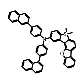 C[Si]1(C)c2ccc(N(c3ccc(-c4ccc5ccccc5c4)cc3)c3ccc(-c4cccc5ccccc45)cc3)cc2-c2c1ccc1c2oc2ccccc21